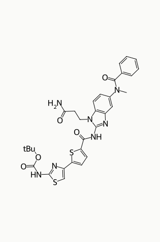 CN(C(=O)c1ccccc1)c1ccc2c(c1)nc(NC(=O)c1ccc(-c3csc(NC(=O)OC(C)(C)C)n3)s1)n2CCC(N)=O